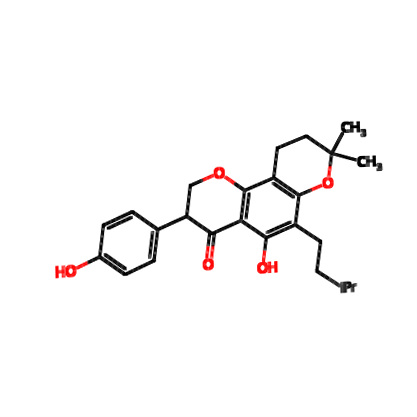 CC(C)CCc1c(O)c2c(c3c1OC(C)(C)CC3)OCC(c1ccc(O)cc1)C2=O